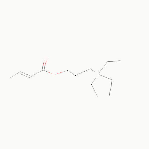 CC=CC(=O)OCCC[Si](CC)(CC)CC